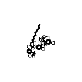 CCCCCCCCCCCCC(Oc1ccc(O)c(C(C)(C)C)c1)C(=O)Nc1ccc(Cl)c(NC2=C(c3c(Cl)cc(Cl)cc3Cl)C(=O)N=N2)c1